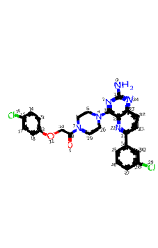 Nc1nc(N2CCN(C(=O)COc3ccc(Cl)cc3)CC2)c2nc(-c3cccc(Cl)c3)ccc2n1